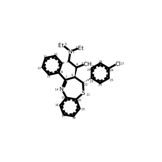 CCN(CC)CC(C)[C@@H]1C(c2ccccc2)=Nc2ccccc2S[C@H]1c1ccc(Cl)cc1